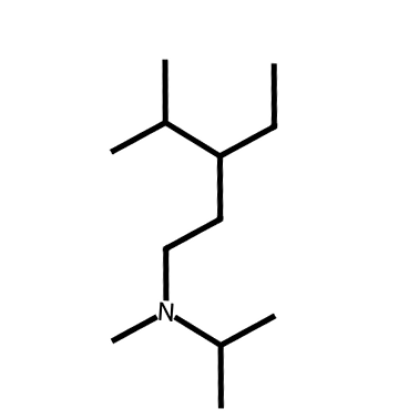 CCC(CCN(C)C(C)C)C(C)C